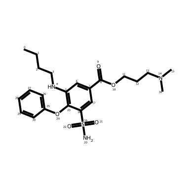 CCCCNc1cc(C(=O)OCCCN(C)C)cc(S(N)(=O)=O)c1Oc1ccccc1